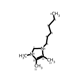 CCCCCCN1CN(C)C(C)=C1C